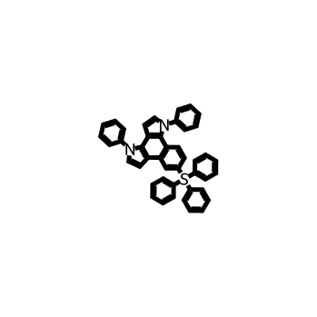 c1ccc(-n2ccc3c4cc(S(c5ccccc5)(c5ccccc5)c5ccccc5)ccc4c4c(ccn4-c4ccccc4)c32)cc1